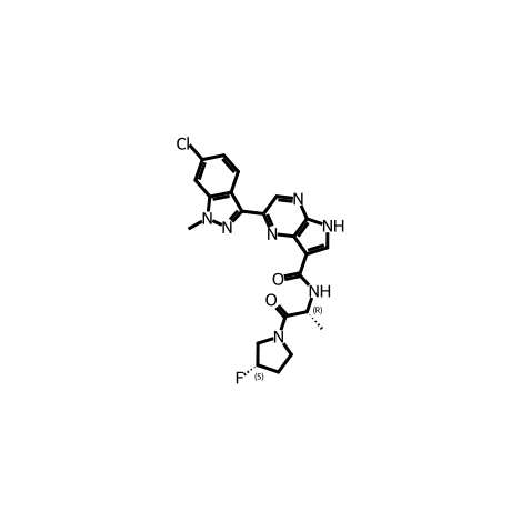 C[C@@H](NC(=O)c1c[nH]c2ncc(-c3nn(C)c4cc(Cl)ccc34)nc12)C(=O)N1CC[C@H](F)C1